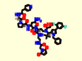 C[C@H](NC(=O)Cc1ccncc1)C(=O)N1CCC[C@@H]1C(=O)N[C@@H](CC(N)=O)C(=O)N[C@@H](CCN(C(=O)CO)[C@@H](c1cc(-c2cc(F)ccc2F)cn1Cc1ccccc1)C(C)(C)C)C(=O)NCCNC(=O)CN1C(=O)C=CC1=O